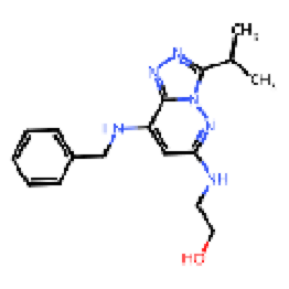 CC(C)c1nnc2c(NCc3ccccc3)cc(NCCO)nn12